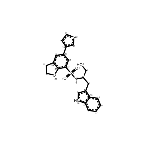 O=S(=O)(N[C@@H](CO)Cc1c[nH]c2ccccc12)c1cc(-c2ccsc2)cc2c1OCC2